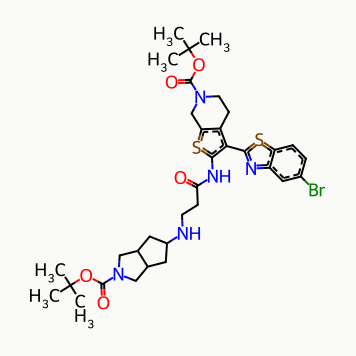 CC(C)(C)OC(=O)N1CCc2c(sc(NC(=O)CCNC3CC4CN(C(=O)OC(C)(C)C)CC4C3)c2-c2nc3cc(Br)ccc3s2)C1